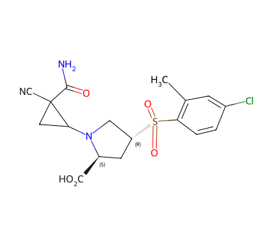 Cc1cc(Cl)ccc1S(=O)(=O)[C@@H]1C[C@@H](C(=O)O)N(C2CC2(C#N)C(N)=O)C1